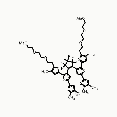 COCCOCCOCCc1sc(-c2sc(-c3cc(C)c(C)s3)cc2C2=C(c3cc(-c4cc(C)c(C)s4)sc3-c3cc(C)c(CCOCCOCCOC)s3)C(F)(F)C(F)(F)C2(F)F)cc1C